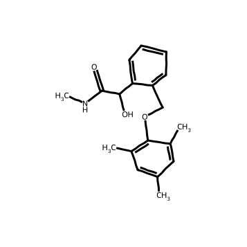 CNC(=O)C(O)c1ccccc1COc1c(C)cc(C)cc1C